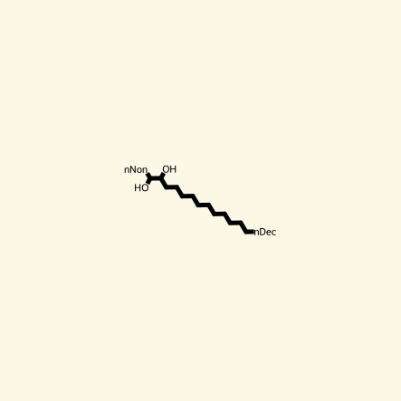 CCCCCCCCCCCCCCCCCCCCCC(O)[C](O)CCCCCCCCC